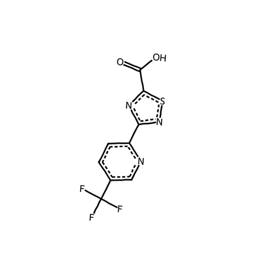 O=C(O)c1nc(-c2ccc(C(F)(F)F)cn2)ns1